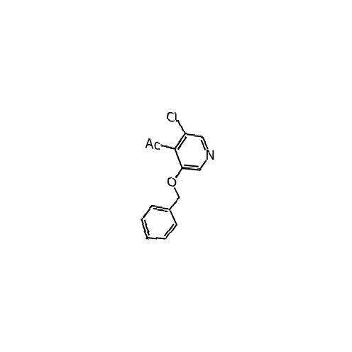 CC(=O)c1c(Cl)cncc1OCc1ccccc1